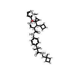 Cn1nccc1C(=O)/N=C\C(C(=O)Nc1ccc(C(C)(C)C(=O)NCC2(C)CCC2)cc1)C(C1CCC1)C1(C)CC1